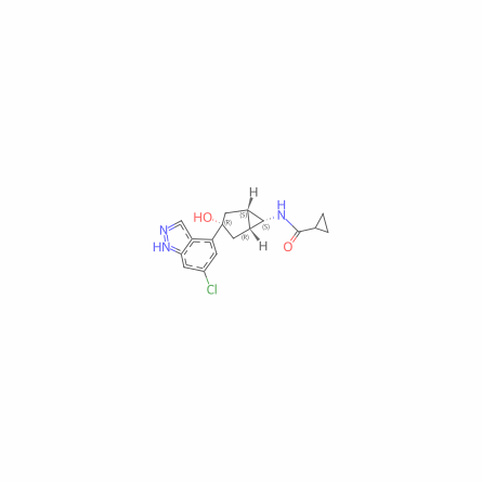 O=C(N[C@@H]1[C@@H]2C[C@@](O)(c3cc(Cl)cc4[nH]ncc34)C[C@@H]21)C1CC1